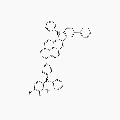 Fc1ccc(N(c2ccccc2)c2ccc(-c3ccc4ccc5c6c(ccc3c46)cc3c4cc(-c6ccccc6)ccc4n(-c4ccccc4)c35)cc2)c(F)c1F